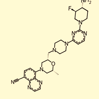 C[C@@H]1CN(c2ccc(C#N)c3nccnc23)C[C@H](CN2CCN(c3ccnc(N4CC[C@@H](N)[C@H](F)C4)n3)CC2)O1